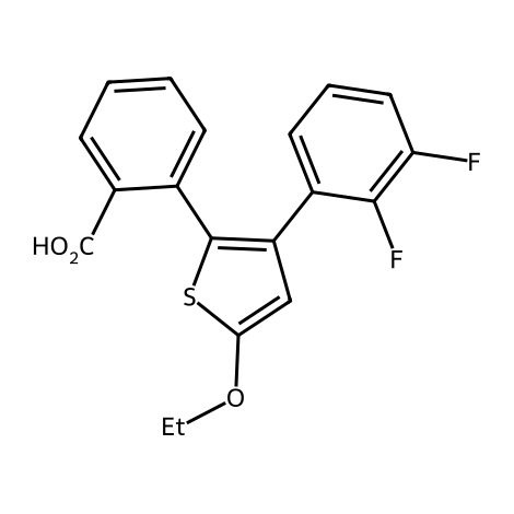 CCOc1cc(-c2cccc(F)c2F)c(-c2ccccc2C(=O)O)s1